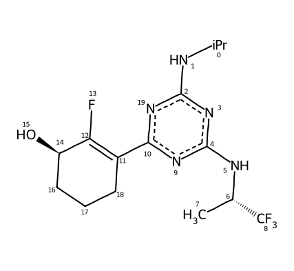 CC(C)Nc1nc(N[C@@H](C)C(F)(F)F)nc(C2=C(F)[C@H](O)CCC2)n1